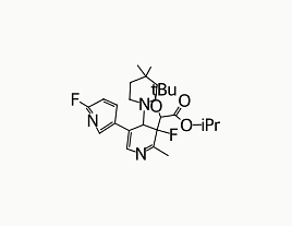 CC1=NC=C(c2ccc(F)nc2)C(N2CCC(C)(C)CC2)C1(F)C(OC(C)(C)C)C(=O)OC(C)C